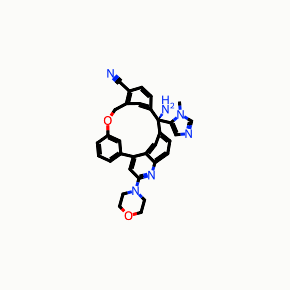 Cn1cncc1[C@@]1(N)c2ccc(C#N)c(c2)COc2cccc(c2)-c2cc(N3CCOCC3)nc3ccc1cc23